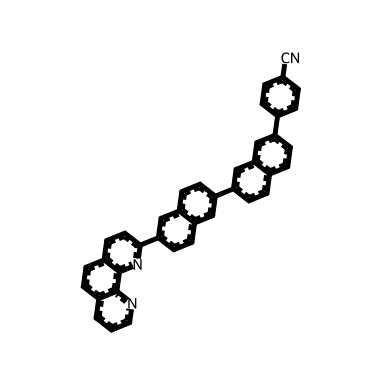 N#Cc1ccc(-c2ccc3ccc(-c4ccc5cc(-c6ccc7ccc8cccnc8c7n6)ccc5c4)cc3c2)cc1